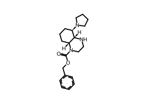 O=C(OCc1ccccc1)N1CCN[C@H]2[C@H](N3CCCC3)CCC[C@H]21